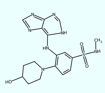 CNS(=O)(=O)c1ccc(N2CCC(O)CC2)c(Nc2[nH]cnc3ncnc2-3)c1